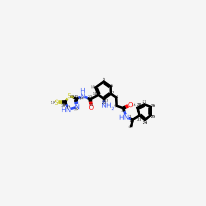 CC(NC(=O)CCc1cccc(C(=O)Nc2n[nH]c(=S)s2)c1N)c1ccccc1